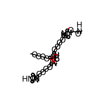 C#C/C1=C(\C=C/C)c2nnn(CCOCCOCCOCCOc3ccc4c(c3)N(C(C)C)C(C3CCCCC(C5N(C(C)C)c6ccc(OCCOCCOCCOCCn7nnc8c7-c7ccccc7CNc7ccccc7-8)cc6N5C(C)C)C3C3N(C(C)C)c5ccc(OCCOCCOCCOCCC)cc5N3C(C)C)N4C(C)C)c2-c2ccccc2CN1C(=O)CCCCC(=O)NC=C